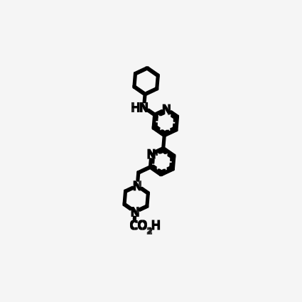 O=C(O)N1CCN(Cc2cccc(-c3ccnc(NC4CCCCC4)c3)n2)CC1